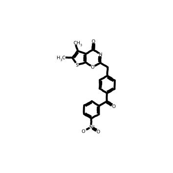 Cc1sc2oc(Cc3ccc(C(=O)c4cccc([N+](=O)[O-])c4)cc3)nc(=O)c2c1C